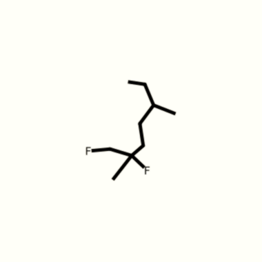 CCC(C)CCC(C)(F)CF